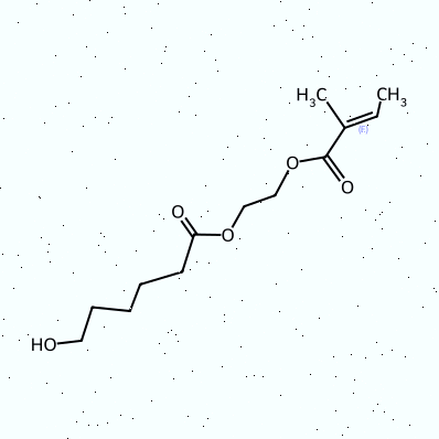 C/C=C(\C)C(=O)OCCOC(=O)CCCCCO